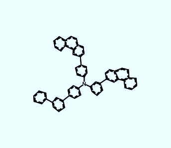 c1ccc(-c2cccc(-c3ccc(N(c4ccc(-c5ccc6ccc7ccccc7c6c5)cc4)c4cccc(-c5ccc6ccc7ccccc7c6c5)c4)cc3)c2)cc1